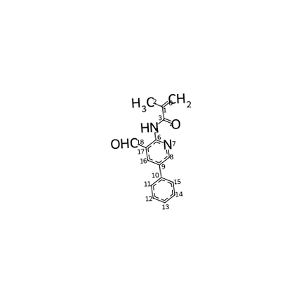 C=C(C)C(=O)Nc1ncc(-c2ccccc2)cc1C=O